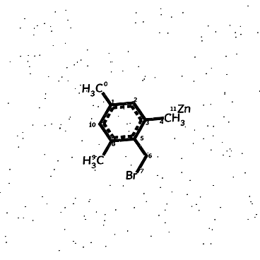 Cc1cc(C)c(CBr)c(C)c1.[Zn]